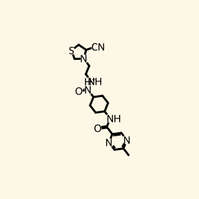 Cc1cnc(C(=O)NC2CCC([NH+]([O-])NCCN3CSCC3C#N)CC2)cn1